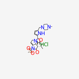 CC(C)[C@@H]1C(=O)N(S(C)(=O)=O)C2=CCN(C(=O)c3ccc(CN4CCN(C)CC4)[nH]3)[C@H]21.Cl